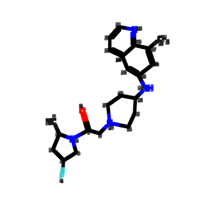 N#CC1C[C@H](F)CN1C(=O)CN1CCC(Nc2cc(C(F)(F)F)c3ncccc3c2)CC1